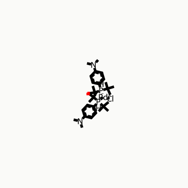 CN(C)c1ccc([PH]([Pd-]([Cl])[PH](c2ccc(N(C)C)cc2)(C(C)(C)C)C(C)(C)C)(C(C)(C)C)C(C)(C)C)cc1